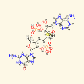 Nc1nc2c(ncn2[C@@H]2O[C@@H]3COP(=O)(O)OC4C(O)[C@H](n5cnc6c(N)ncnc65)O[C@@H]4COP(=O)(O)OC2C3CCCS)c(=O)[nH]1